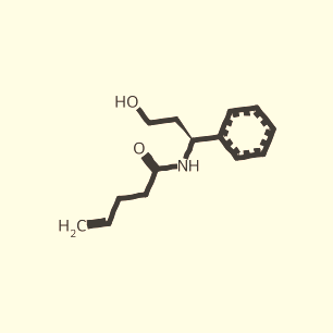 C=CCCC(=O)N[C@@H](CCO)c1ccccc1